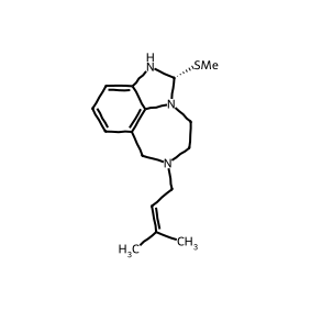 CS[C@H]1Nc2cccc3c2N1CCN(CC=C(C)C)C3